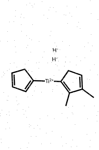 CC1=CC[C]([Ti+2][C]2=CC=CC2)=C1C.[H-].[H-]